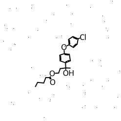 CCCCC(=O)OCCC(C)(O)c1ccc(Oc2ccc(Cl)cc2)cc1